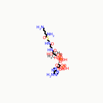 CC(C)(COP(=O)(O)OP(=O)(O)OC[C@H]1O[C@@H](n2cnc3c(N)ncnc32)[C@H](O)[C@@H]1OP(=O)(O)O)C(O)C(=O)NCCC(=O)NCCSC(=O)[C@@H](N)CCCCN